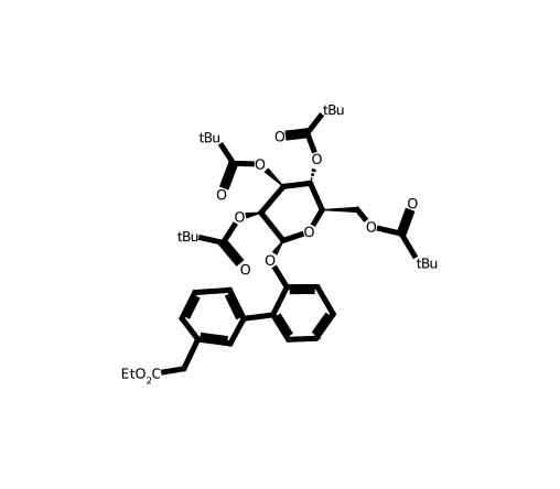 CCOC(=O)Cc1cccc(-c2c[c]ccc2O[C@@H]2O[C@H](COC(=O)C(C)(C)C)[C@@H](OC(=O)C(C)(C)C)[C@H](OC(=O)C(C)(C)C)[C@@H]2OC(=O)C(C)(C)C)c1